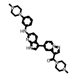 CN1CCN(C(=O)c2cnn3ccc(-c4c[nH]c5nc(Nc6cccc(N7CCN(C)CC7)c6)ccc45)cc23)CC1